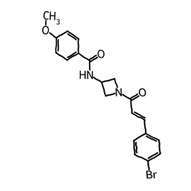 COc1ccc(C(=O)NC2CN(C(=O)C=Cc3ccc(Br)cc3)C2)cc1